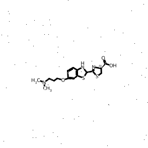 CN(C)CCCOc1ccc2c(c1)SC(C1=N[C@@H](C(=O)O)CS1)N2